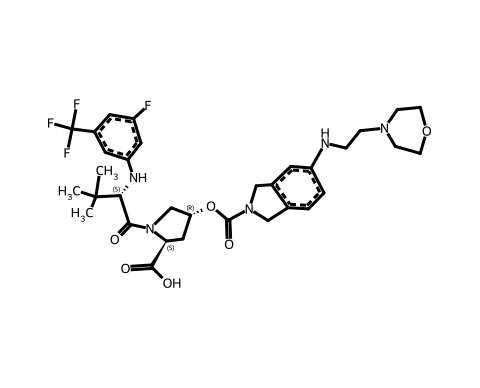 CC(C)(C)[C@H](Nc1cc(F)cc(C(F)(F)F)c1)C(=O)N1C[C@H](OC(=O)N2Cc3ccc(NCCN4CCOCC4)cc3C2)C[C@H]1C(=O)O